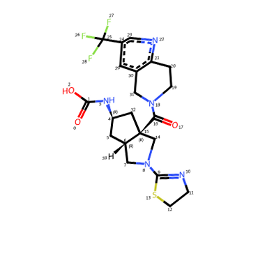 O=C(O)N[C@@H]1C[C@H]2CN(C3=NCCS3)C[C@@]2(C(=O)N2CCc3ncc(C(F)(F)F)cc3C2)C1